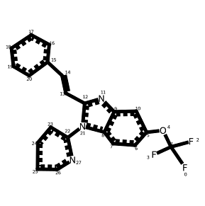 FC(F)(F)Oc1ccc2c(c1)nc(C=Cc1ccccc1)n2-c1ccccn1